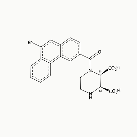 O=C(O)[C@H]1NCCN(C(=O)c2ccc3cc(Br)c4ccccc4c3c2)[C@H]1C(=O)O